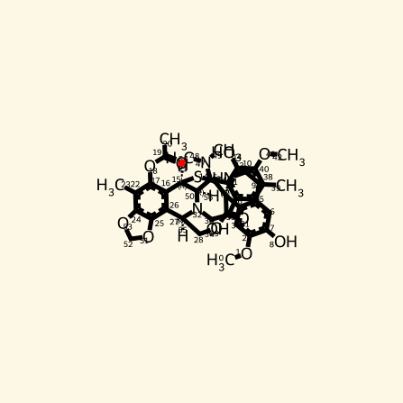 COc1cc2c(cc1O)CCN[C@]21CS[C@@H]2c3c(OC(C)=O)c(C)c4c(c3[C@H](COC1=O)N1C(O)Cc3cc(C)c(OC)c(O)c3C(N(C)C)[C@H]21)OCO4